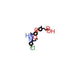 CCCc1c(C(=O)NC(C)c2cccc(Oc3ccc(CCC(=O)O)c(C)c3)c2)n(C)c2ccc(Cl)cc12